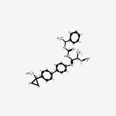 CC(OC(=O)N/C(=N\c1ccc(-c2ccc(C3(C(=O)O)CC3)cc2)cc1)C(N=N)C(F)(F)F)c1ccccc1